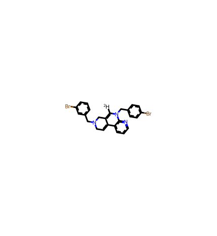 [2H]C1=C2CN(Cc3cccc(Br)c3)CC=C2c2cccnc2N1Cc1ccc(Br)cc1